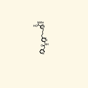 CNC(O)c1cn(CCCCc2ccc(NC(=O)Cc3cccnc3)nn2)nn1